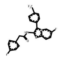 O=C(Cc1ccc(F)cc1)Nc1nc2ccc(F)cn2c1-c1ccc(C(F)(F)F)cc1